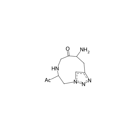 CC(=O)C1Cn2cc(nn2)CC(N)C(=O)CN1